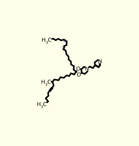 CCCCCC#CCC(C)CCCCCCCCC1(CCCCCCCC/C=C\C/C=C\CCCCC)OC2CCN(CCC3=CC=NCC3)CC2O1